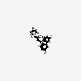 O=S1(=O)N(CC(O)Cn2c3ccc(F)cc3c3cc(F)ccc32)CCC1(F)F